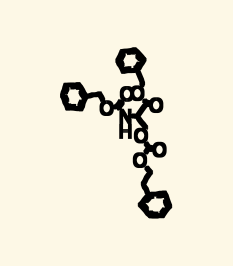 O=C(NC(COC(=O)OCCc1ccccc1)C(=O)OCc1ccccc1)OCc1ccccc1